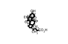 CC[C@H]1C(=O)[C@H]2[C@@H]3CC[C@H](C(C)CCC(=O)O)[C@@]3(C)CC(=O)[C@@H]2[C@@]2(C)CC[C@@H](O)C[C@@H]12